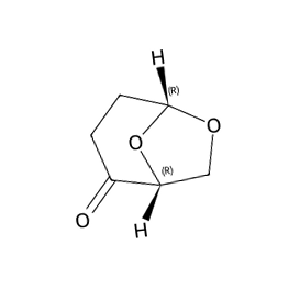 O=C1CC[C@@H]2OC[C@H]1O2